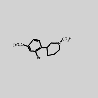 CCOC(=O)c1ccc(C2CCCN(C(=O)O)C2)c(Br)c1